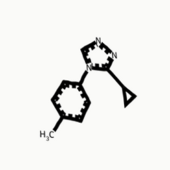 Cc1ccc(-n2cnnc2C2CC2)cc1